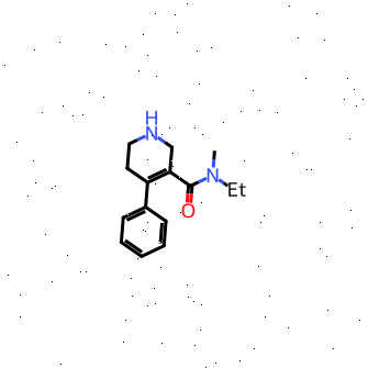 CCN(C)C(=O)C1=C(c2ccccc2)CCNC1